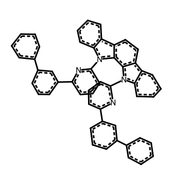 c1ccc(-c2cccc(-c3cccc(-n4c5ccccc5c5ccc6c7ccccc7n(-c7cccc(-c8cccc(-c9ccccc9)c8)n7)c6c54)n3)c2)cc1